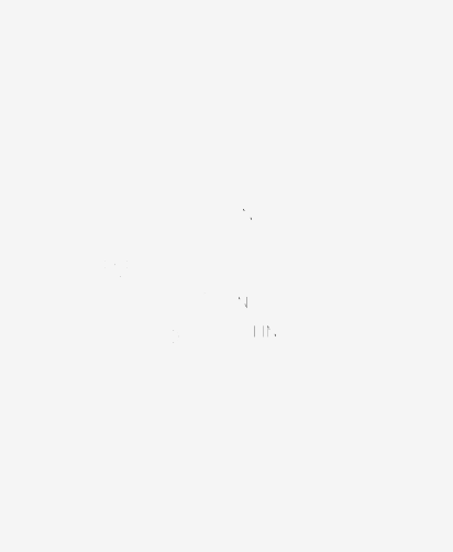 Cc1cc2ncc(C(=O)O)c(=O)n2[nH]1